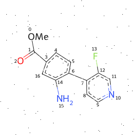 COC(=O)c1ccc(-c2ccncc2F)c(N)c1